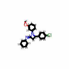 COc1cccc(N2/C(=N/c3ccccc3)CC2c2ccc(Cl)cc2)c1